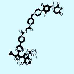 CC(C)(C)n1cc(-c2noc(C3CC3)c2-c2ncc(C3CCN(C(=O)OCC(=O)N4CCC(CN5CCN(c6c(F)cc(N[C@H]7CCC(=O)NC7=O)cc6F)CC5)CC4)CC3)cn2)c2c(N)ncnc21